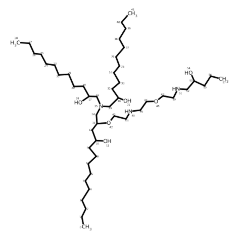 CCCCCCCCCCC(O)CC(CN(CC(O)CCCCCCCCCC)CC(O)CCCCCCCCCC)OCCNCCOCCNCC(O)CCC